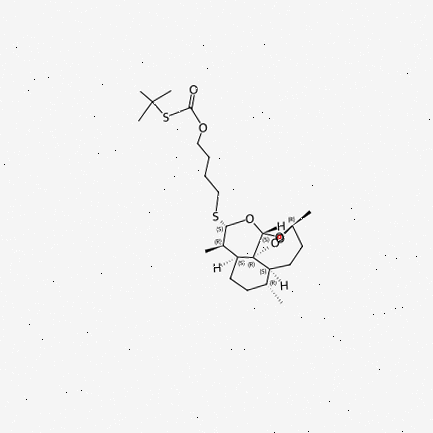 C[C@H]1[C@H](SCCCCOC(=O)SC(C)(C)C)O[C@@H]2O[C@@]3(C)CC[C@H]4[C@H](C)CC[C@@H]1[C@@]24OO3